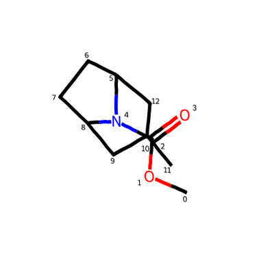 COC(=O)N1C2CCC1CC(C)C2